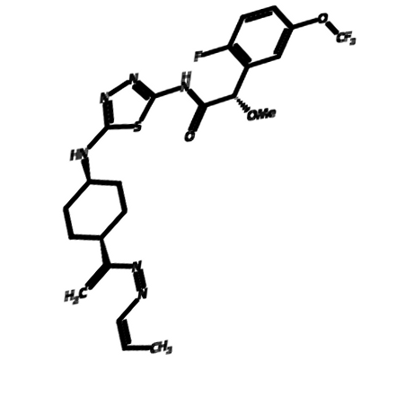 C=C(/N=N\C=C/C)[C@H]1CC[C@@H](Nc2nnc(NC(=O)[C@@H](OC)c3cc(OC(F)(F)F)ccc3F)s2)CC1